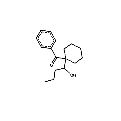 CCCC(O)C1(C(=O)c2ccccc2)CCCCC1